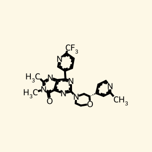 Cc1cc([C@H]2CN(c3nc(-c4ccc(C(F)(F)F)nc4)c4nc(C)n(C)c(=O)c4n3)CCO2)ccn1